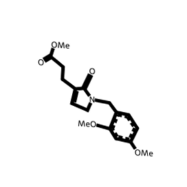 COC(=O)CCC1=CCN(Cc2ccc(OC)cc2OC)C1=O